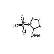 COC1CCCN1S(=O)(=O)Cl